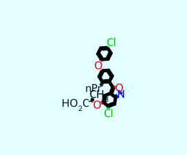 CCCc1cc(Oc2ccc(Cl)cc2)ccc1-c1onc2cc(Cl)c(O[C@@H](C)C(=O)O)cc12